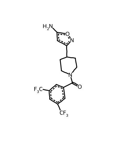 Nc1cc(C2CCN(C(=O)c3cc(C(F)(F)F)cc(C(F)(F)F)c3)CC2)no1